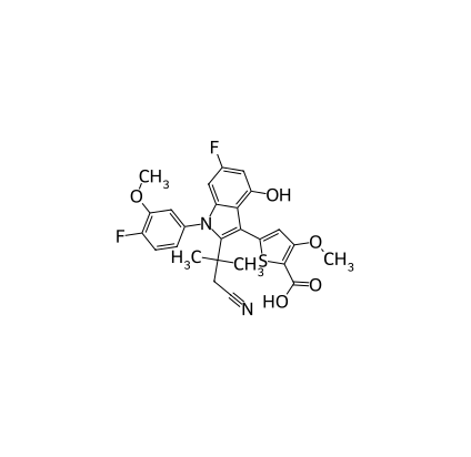 COc1cc(-n2c(C(C)(C)CC#N)c(-c3cc(OC)c(C(=O)O)s3)c3c(O)cc(F)cc32)ccc1F